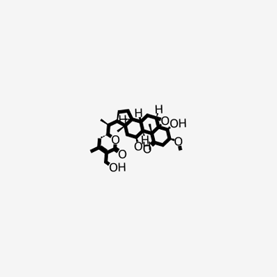 CO[C@H]1CC(=O)[C@]2(C)[C@@H]3[C@@H](C[C@H]4O[C@]42[C@H]1O)[C@@H]1CC[C@H]([C@H](C)[C@H]2CC(C)=C(CO)C(=O)O2)[C@@]1(C)C[C@@H]3O